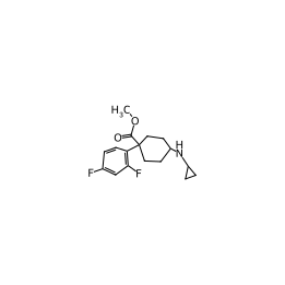 COC(=O)C1(c2ccc(F)cc2F)CCC(NC2CC2)CC1